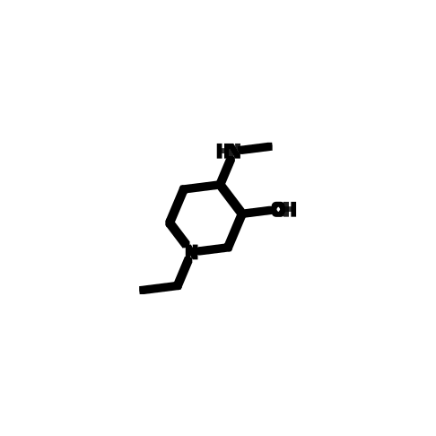 CCN1CCC(NC)C(O)C1